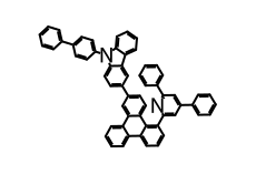 c1ccc(-c2ccc(-n3c4ccccc4c4cc(-c5ccc6c(c5)c5ccccc5c5cccc(-c7cc(-c8ccccc8)cc(-c8ccccc8)n7)c56)ccc43)cc2)cc1